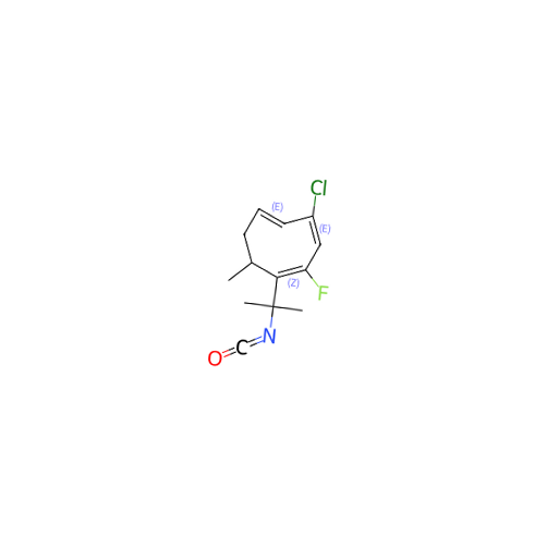 CC1C/C=C/C(Cl)=C\C(F)=C/1C(C)(C)N=C=O